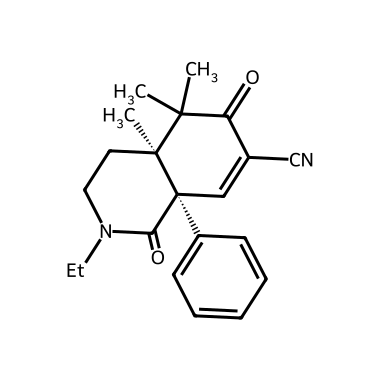 CCN1CC[C@@]2(C)C(C)(C)C(=O)C(C#N)=C[C@@]2(c2ccccc2)C1=O